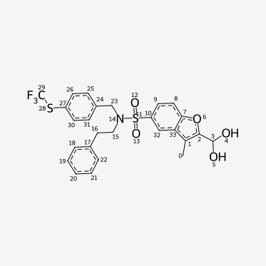 Cc1c(C(O)O)oc2ccc(S(=O)(=O)N(CCc3ccccc3)Cc3ccc(SC(F)(F)F)cc3)cc12